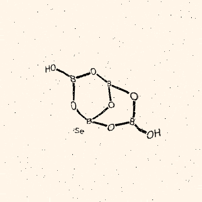 OB1OB2OB(O)OB(O1)O2.[Se]